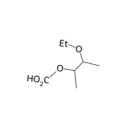 CCOC(C)C(C)OC(=O)O